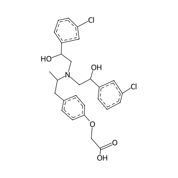 CC(Cc1ccc(OCC(=O)O)cc1)N(CC(O)c1cccc(Cl)c1)CC(O)c1cccc(Cl)c1